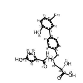 O=C(NN(Cc1ccc(-c2cc(F)ccc2O)cc1)C[C@H](O)C(=O)O)c1cc(O)no1